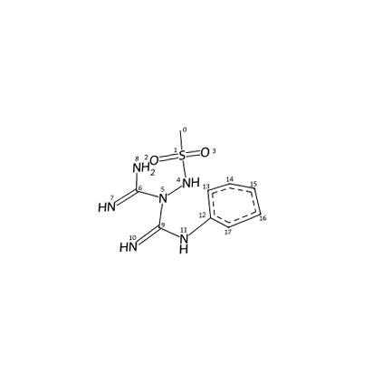 CS(=O)(=O)NN(C(=N)N)C(=N)Nc1ccccc1